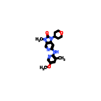 COc1cnc(Nc2cc3c(cn2)n(C)c(=O)n3C2CCOCC2)c(C)c1